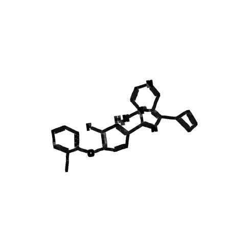 Cc1ccccc1Oc1ccc(C2=NC(C3=CC=C3)=C3C=NC=C[N+]23N)cc1F